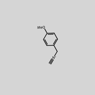 C#[N+]Cc1ccc(OC)cc1